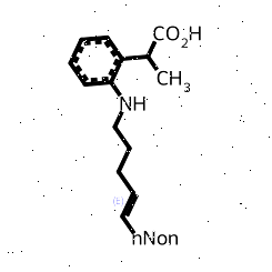 CCCCCCCCC/C=C/CCCNc1ccccc1C(C)C(=O)O